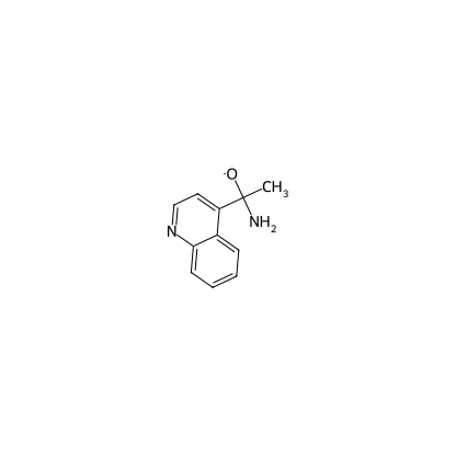 CC(N)([O])c1ccnc2ccccc12